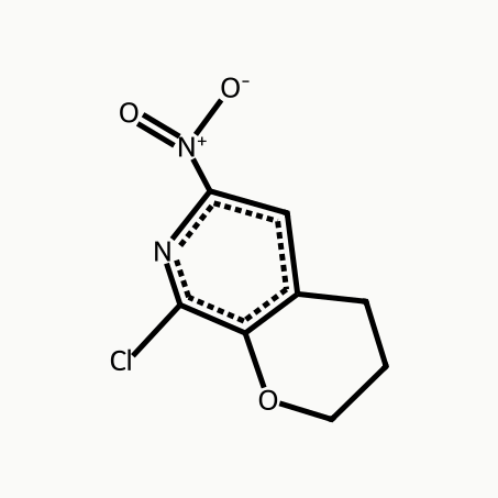 O=[N+]([O-])c1cc2c(c(Cl)n1)OCCC2